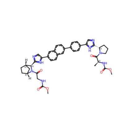 COC(=O)NCC(=O)N1[C@@H]2CC[C@@H](C2)[C@H]1c1ncc(-c2ccc3cc(-c4ccc(-c5cnc([C@@H]6CCCN6C(=O)[C@H](C)NC(=O)OC)[nH]5)cc4)ccc3c2)[nH]1